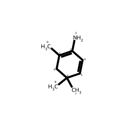 CC1=C(N)C=CC(C)(C)C1